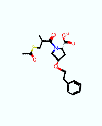 CC(=O)SCC(C)C(=O)N1C[C@H](OCCc2ccccc2)C[C@H]1C(=O)O